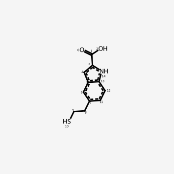 O=C(O)c1cc2cc(CCS)ccc2[nH]1